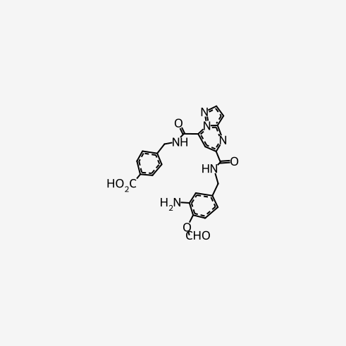 Nc1cc(CNC(=O)c2cc(C(=O)NCc3ccc(C(=O)O)cc3)n3nccc3n2)ccc1OC=O